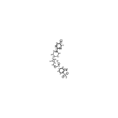 CS(=O)(=O)c1ccc([C@H]2OC[C@]3(CO2)C[C@@H]3C2CCN(c3ncc(Cl)cn3)CC2)cc1F